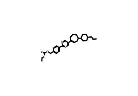 CCCC1CCC(C2CC=C(c3cnc(-c4ccc(CSC(=O)SCC)cc4)nc3)CCC2)CC1